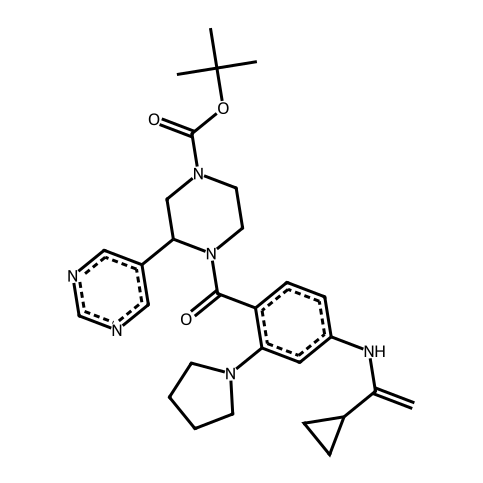 C=C(Nc1ccc(C(=O)N2CCN(C(=O)OC(C)(C)C)CC2c2cncnc2)c(N2CCCC2)c1)C1CC1